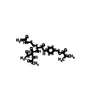 CC(=O)N[C@H](C(=O)N[C@@H](CCCNC(N)=O)C(=O)Nc1ccc(COC(=O)C(C)C)cc1)C(C)C